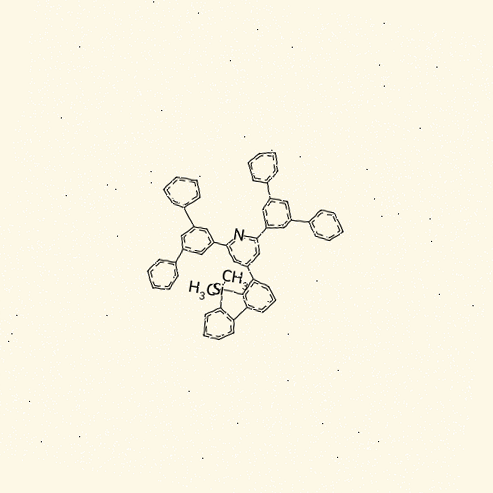 C[Si]1(C)c2ccccc2-c2cccc(-c3cc(-c4cc(-c5ccccc5)cc(-c5ccccc5)c4)nc(-c4cc(-c5ccccc5)cc(-c5ccccc5)c4)c3)c21